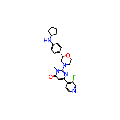 Cn1c(N2CCO[C@@H](c3ccc(NC4CCCC4)cc3)C2)nc(-c2ccncc2F)cc1=O